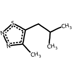 C[C](C)Cc1snnc1C